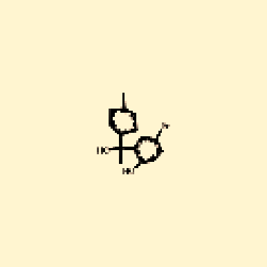 Cc1ccc(C(C)(O)c2cc(Br)ccc2O)cc1